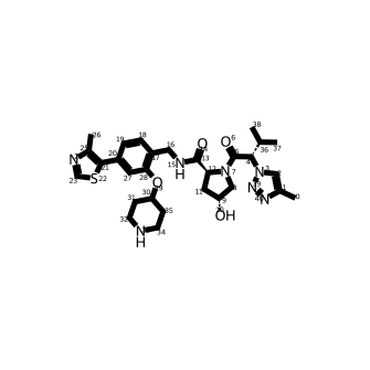 Cc1cn([C@H](C(=O)N2C[C@H](O)C[C@H]2C(=O)NCc2ccc(-c3scnc3C)cc2OC2CCNCC2)C(C)C)nn1